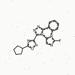 Fc1ncc2n1c1ccccc1c1nnc(-c3noc(C4CCCC4)n3)n12